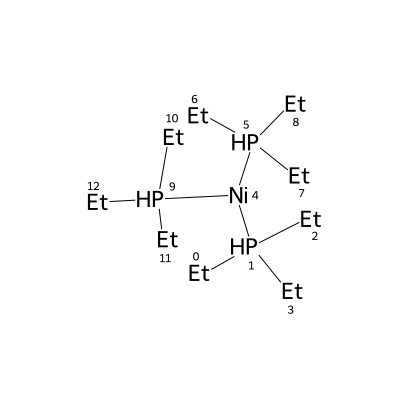 CC[PH](CC)(CC)[Ni]([PH](CC)(CC)CC)[PH](CC)(CC)CC